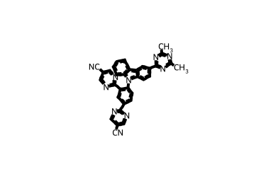 Cc1nc(C)nc(-c2ccc3c(c2)c2ccccc2n3-c2ccc(-c3ncc(C#N)cn3)cc2-c2ncc(C#N)cn2)n1